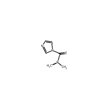 CN(C)C(=S)n1ccnc1